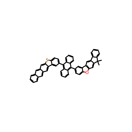 CC1(C)c2ccccc2-c2cc3c(cc21)oc1ccc(-c2c4ccccc4c(-c4ccc5sc6cc7cc8ccccc8cc7cc6c5c4)c4ccccc24)cc13